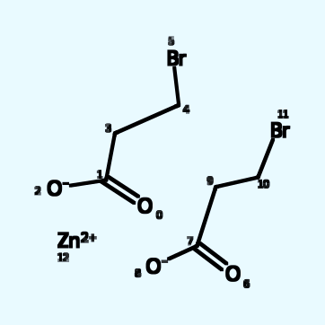 O=C([O-])CCBr.O=C([O-])CCBr.[Zn+2]